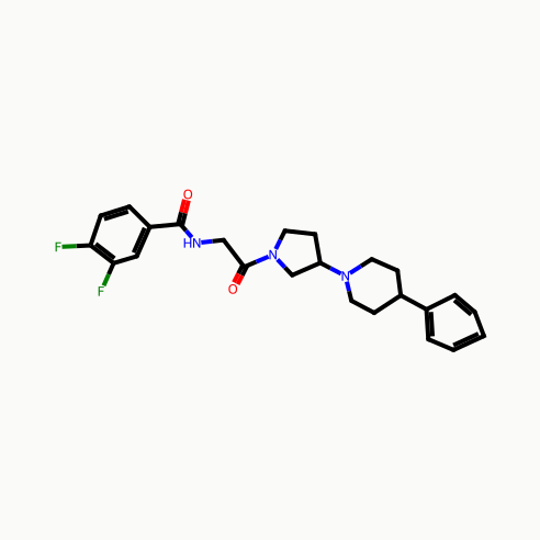 O=C(NCC(=O)N1CCC(N2CCC(c3ccccc3)CC2)C1)c1ccc(F)c(F)c1